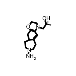 C[C@H](O)CN1CCOC2=C1C=C1CCN(N)CCC1C2